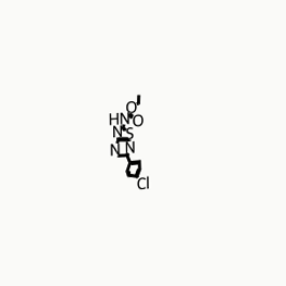 CCOC(=O)Nc1nc2ncc(-c3ccc(Cl)cc3)nc2s1